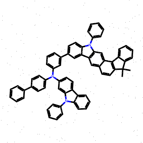 CC1(C)c2ccccc2-c2c1ccc1cc3c4cc(-c5cccc(N(c6ccc(-c7ccccc7)cc6)c6ccc7c8ccccc8n(-c8ccccc8)c7c6)c5)ccc4n(-c4ccccc4)c3cc21